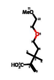 C=C(C(=O)O)C(C)(C)CCOCCOC